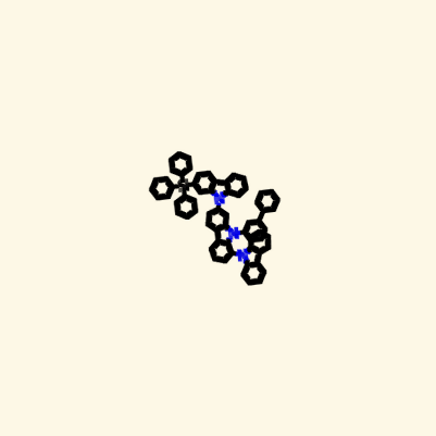 c1ccc(-c2cccc(-n3c4cc(-n5c6ccccc6c6ccc([Si](c7ccccc7)(c7ccccc7)c7ccccc7)cc65)ccc4c4cccc(-n5c6ccccc6c6ccccc65)c43)c2)cc1